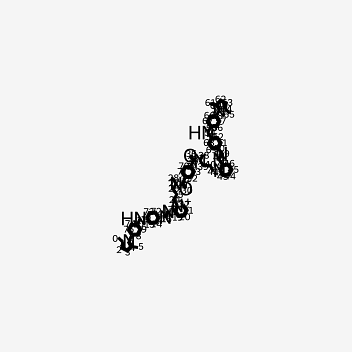 Cc1ccc(C)n1-c1ccc(Nc2ccc(/N=N/c3cccc[n+]3CCCN(C)C(=O)c3ccc(C(=O)N(C)CCC[n+]4ccccc4/N=N/c4ccc(Nc5ccc(-n6c(C)ccc6C)cc5)cc4)cc3)cc2)cc1